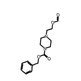 O=[C]OCCN1CCN(C(=O)OCc2ccccc2)CC1